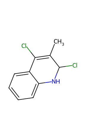 CC1=C(Cl)c2ccccc2NC1Cl